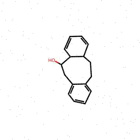 OC1Cc2ccccc2CCC2C=CC=CC12